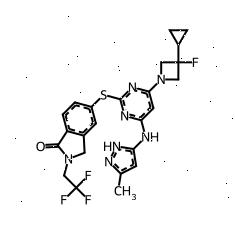 Cc1cc(Nc2cc(N3CC(F)(C4CC4)C3)nc(Sc3ccc4c(c3)CN(CC(F)(F)F)C4=O)n2)[nH]n1